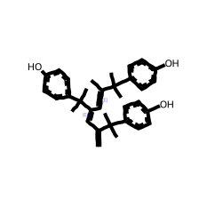 C=C(/C=C(\C=C(/C)C(C)(C)c1ccc(O)cc1)C(C)(C)c1ccc(O)cc1)C(C)(C)c1ccc(O)cc1